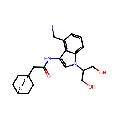 O=C(CC12CCC(CC1)CC2)Nc1cn(C(CO)CO)c2cccc(CI)c12